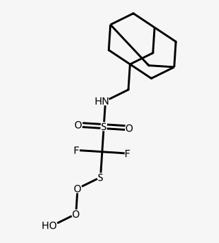 O=S(=O)(NCC12CC3CC(CC(C3)C1)C2)C(F)(F)SOOO